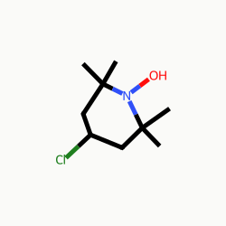 CC1(C)CC(Cl)CC(C)(C)N1O